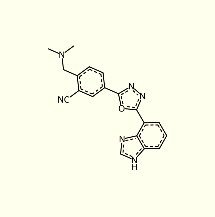 CN(C)Cc1ccc(-c2nnc(-c3cccc4[nH]cnc34)o2)cc1C#N